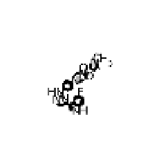 Cn1cc(S(=O)(=O)N2CCN(c3ccc(Nc4nccc(-c5c[nH]c6ccc(F)cc56)n4)cc3)CC2)cn1